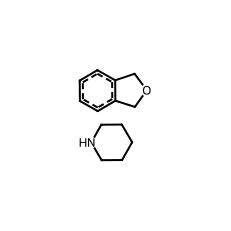 C1CCNCC1.c1ccc2c(c1)COC2